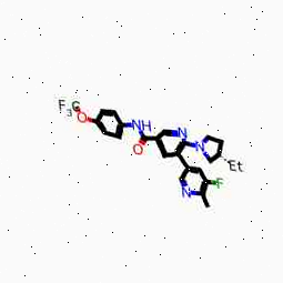 CC[C@H]1CCN(c2ncc(C(=O)Nc3ccc(OC(F)(F)F)cc3)cc2-c2cnc(C)c(F)c2)C1